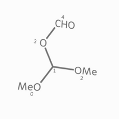 COC(OC)OC=O